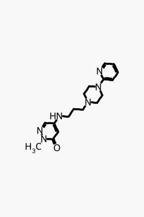 Cn1ncc(NCCCN2CCN(c3ccccn3)CC2)cc1=O